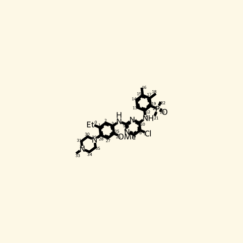 CCc1cc(Nc2ncc(Cl)c(Nc3ccc(C)c(C)c3P(C)(C)=O)n2)c(OC)cc1N1CCN(C)CC1